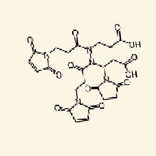 O=C(O)CCN(C(=O)CCN1C(=O)C=CC1=O)N(C(=O)CCN1C(=O)C=CC1=O)C(CC(=O)O)N1C(=O)CCC1=O